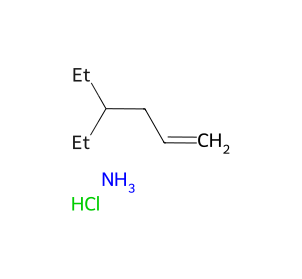 C=CCC(CC)CC.Cl.N